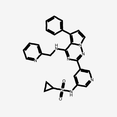 O=S(=O)(Nc1cncc(-c2nc(NCc3ccccn3)c3c(-c4ccccc4)ccn3n2)c1)C1CC1